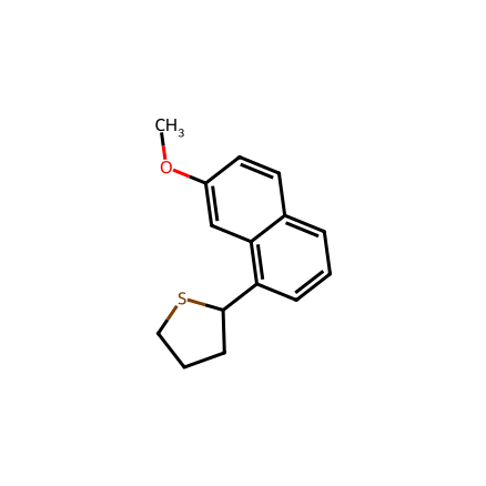 COc1ccc2cccc(C3CCCS3)c2c1